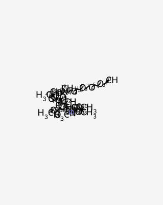 C#CCOCCOCCOCCOCCN(C)C(=O)O[C@@H]([C@H]1OC(C(=O)OC)=C[C@@H](N/C(C)=N\C(=O)OC(C)(C)C)[C@@H]1C)[C@H]1COC(C)(C)O1